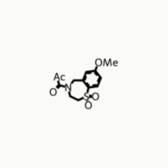 COc1ccc2c(c1)CN(C(=O)C(C)=O)CCS2(=O)=O